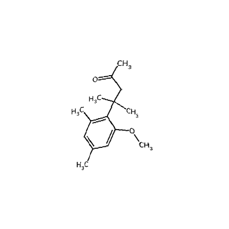 COc1cc(C)cc(C)c1C(C)(C)CC(C)=O